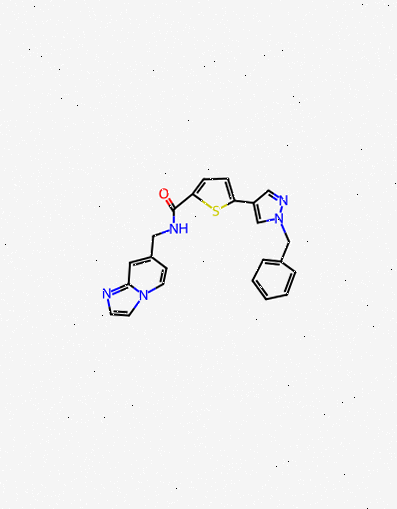 O=C(NCc1ccn2ccnc2c1)c1ccc(-c2cnn(Cc3ccccc3)c2)s1